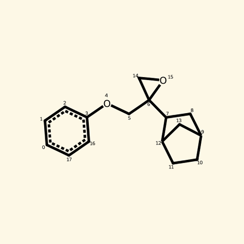 c1ccc(OCC2(C3CC4CCC3C4)CO2)cc1